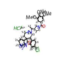 COc1cc(C(=O)N2CCC(C(C)N3CCC(C(N)=O)(c4ccccc4)C(c4ccc(Cl)cc4)C3)C2)cc(OC)c1OC.Cl